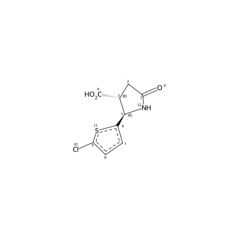 O=C1C[C@@H](C(=O)O)[C@H](c2ccc(Cl)s2)N1